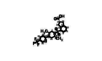 C[C@H]1CN(S(=O)(=O)c2cccc3c2C[C@H](C(=O)O)C3)[C@@H](C)CN1c1ccc(C(F)(F)F)cn1